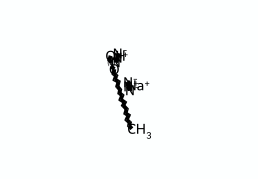 CCCCCCCCCCCCCCCCCCOC[C@H](CO)N=[N+]=[N-].[N-]=[N+]=[N-].[Na+]